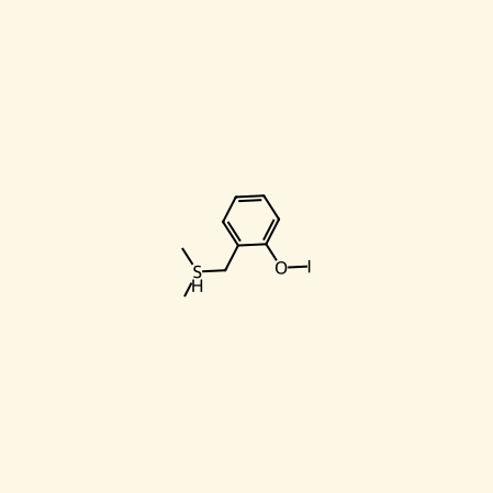 C[SH](C)Cc1ccccc1OI